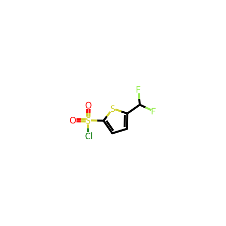 O=S(=O)(Cl)c1ccc(C(F)F)s1